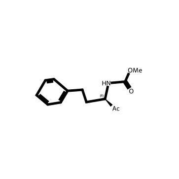 COC(=O)N[C@H](CCc1ccccc1)C(C)=O